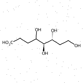 O=C(O)CCC(O)[C@H](O)[C@H](O)CCO